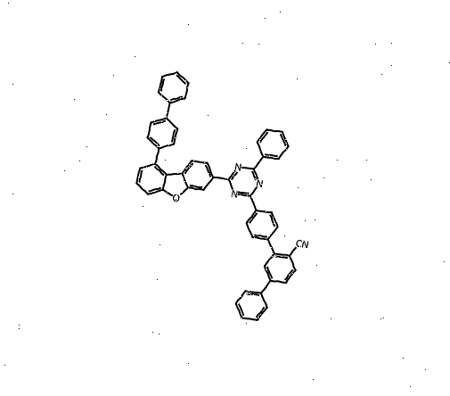 N#Cc1ccc(-c2ccccc2)cc1-c1ccc(-c2nc(-c3ccccc3)nc(-c3ccc4c(c3)oc3cccc(-c5ccc(-c6ccccc6)cc5)c34)n2)cc1